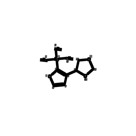 CCC[CH2][Sn]([CH2]CCC)([CH2]CCC)[c]1occc1C1COCO1